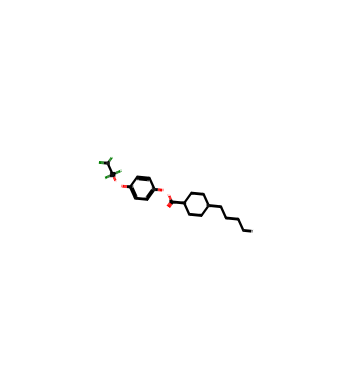 CCCCCC1CCC(C(=O)Oc2ccc(OC(F)(F)C(F)F)cc2)CC1